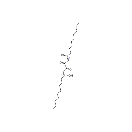 CCCCCCCCC/C(O)=C/C(=O)C(=O)/C=C(\O)CCCCCCCCC